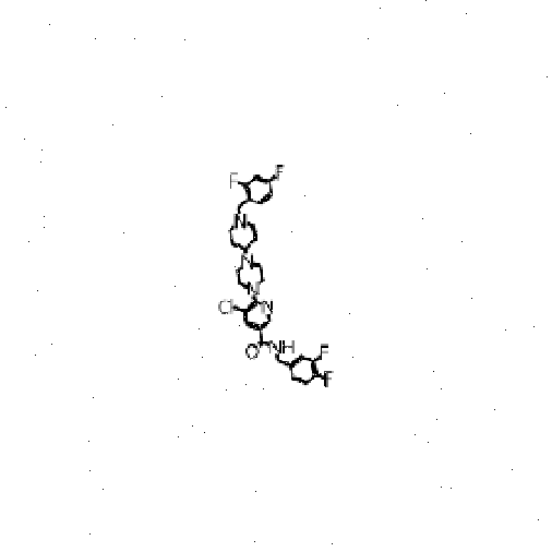 O=C(NCc1ccc(F)c(F)c1)c1cnc(N2CCN(C3CCN(Cc4ccc(F)cc4F)CC3)CC2)c(Cl)c1